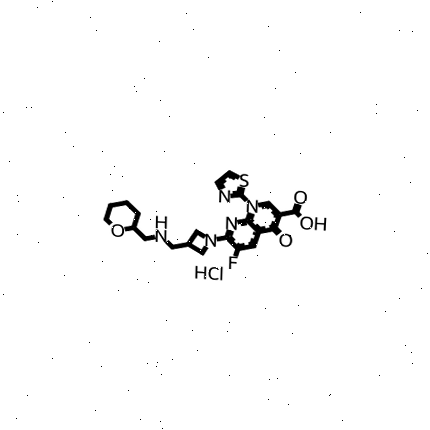 Cl.O=C(O)c1cn(-c2nccs2)c2nc(N3CC(CNCC4CCCCO4)C3)c(F)cc2c1=O